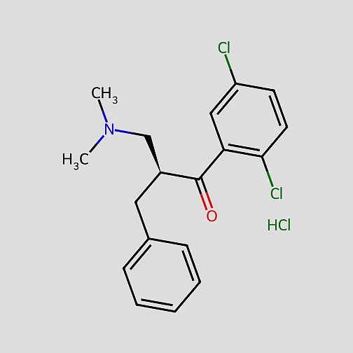 CN(C)C[C@H](Cc1ccccc1)C(=O)c1cc(Cl)ccc1Cl.Cl